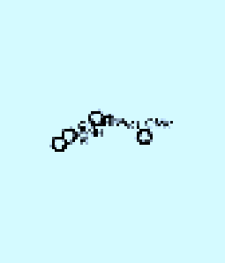 COc1ccccc1OCCNCc1cccc(NS(=O)(=O)c2ccc3ccccc3c2)c1